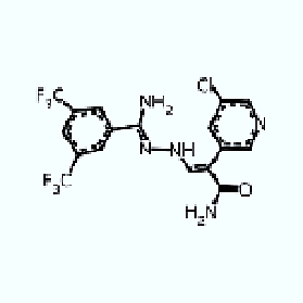 NC(=O)/C(=C/N/N=C(\N)c1cc(C(F)(F)F)cc(C(F)(F)F)c1)c1cncc(Cl)c1